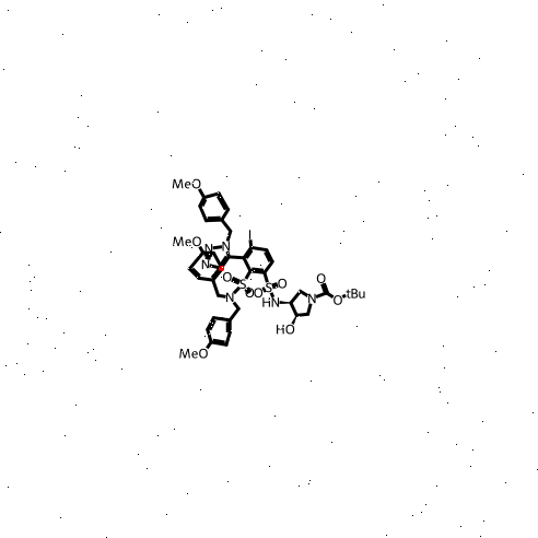 COc1ccc(CN(Cc2ccc(OC)cc2)S(=O)(=O)c2c(S(=O)(=O)N[C@H]3CN(C(=O)OC(C)(C)C)C[C@H]3O)ccc(I)c2-c2cnnn2Cc2ccc(OC)cc2)cc1